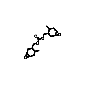 CC1CC2OC2CC1COC(=O)OCC1CC2OC2CC1C